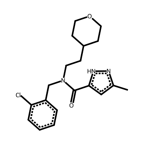 Cc1cc(C(=O)N(CCC2CCOCC2)Cc2ccccc2Cl)[nH]n1